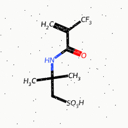 C=C(C(=O)NC(C)(C)CS(=O)(=O)O)C(F)(F)F